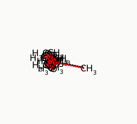 CCCCCCCCCCCCCCCCCCSCCO[C@H]1O[C@H](COC(C)=O)[C@@H](O[C@@H]2O[C@H](COC(C)=O)[C@H](O[C@@H]3O[C@H](COC(C)=O)[C@H](OC(C)=O)[C@H](OC(C)=O)[C@H]3OC(C)=O)[C@H](OC(C)=O)[C@H]2OC(C)=O)[C@H](OC(C)=O)[C@@H]1NC(C)=O